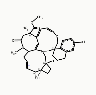 COC(=O)[C@]1(O)CC(=O)N(C)C2C/C=C/[C@@H](O)[C@@H]3CC[C@H]3CN3C[C@@]4(CCCc5cc(Cl)ccc54)COC=CC=C1C=C23